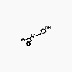 CC(C)CCC(CCNCCCN1CCC(O)CC1)Cc1ccccc1